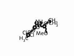 COCCCc1cc(CN(C(=O)C2CNCCC2c2ccc(OCCOc3c(Cl)cc(C)cc3Cl)cc2)C2CC2)cc(OCCN(C)C)c1